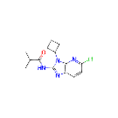 CC(C)C(=O)Nc1nc2ccc(Cl)nc2n1C1CCC1